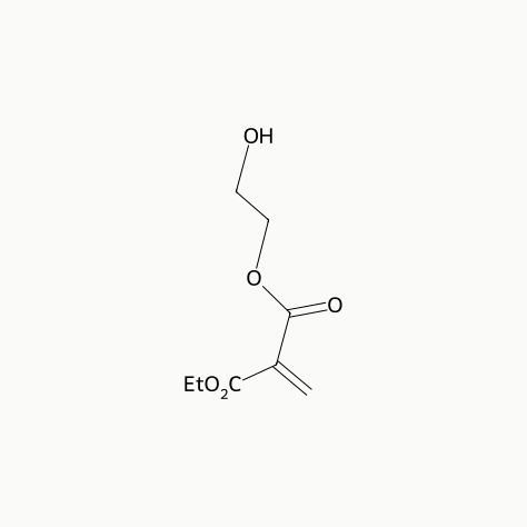 C=C(C(=O)OCC)C(=O)OCCO